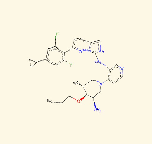 C[C@H]1CN(c2ccncc2Nc2ncc3ccc(-c4c(F)cc(C5CC5)cc4F)nn23)C[C@@H](N)[C@H]1OCCC#N